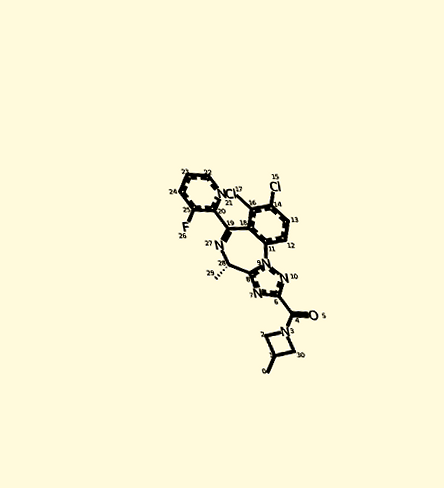 CC1CN(C(=O)c2nc3n(n2)-c2ccc(Cl)c(Cl)c2C(c2ncccc2F)=N[C@H]3C)C1